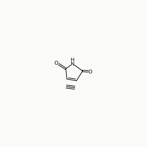 C#C.O=C1C=CC(=O)N1